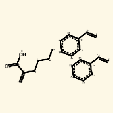 C=C(CCCC)C(=O)O.C=Cc1ccccc1.C=Cc1ccccc1